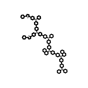 c1ccc(-c2ccc(-c3ccc(N(c4ccccc4)c4ccc(-c5ccc(N(c6ccc(-c7ccc(-c8ccccc8)s7)cc6)c6ccc(C7CCC(N(C8CCCCC8)C8CCC(C9CCC(N(C%10CCC(C%11CCC(N(C%12CCC(C%13CCC(N(C%14CCCCC%14)C%14CCCCC%14)CC%13)CC%12)C%12CCCC%13CCCCC%13%12)CC%11)CC%10)C%10CCCC%11CCCCC%11%10)CC9)CC8)CC7)cc6)cc5)cc4)cc3)s2)cc1